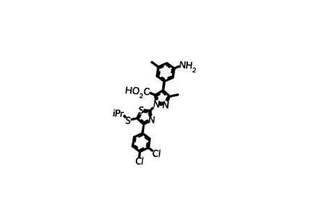 Cc1cc(N)cc(-c2c(C)nn(-c3nc(-c4ccc(Cl)c(Cl)c4)c(SC(C)C)s3)c2C(=O)O)c1